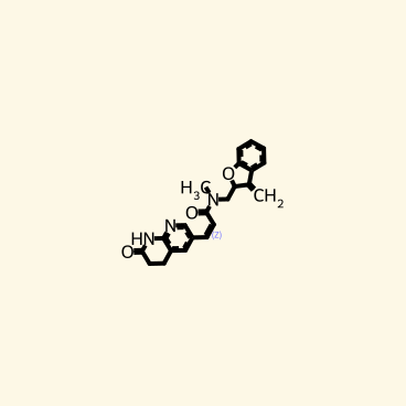 C=C1c2ccccc2OC1CN(C)C(=O)/C=C\c1cnc2c(c1)CCC(=O)N2